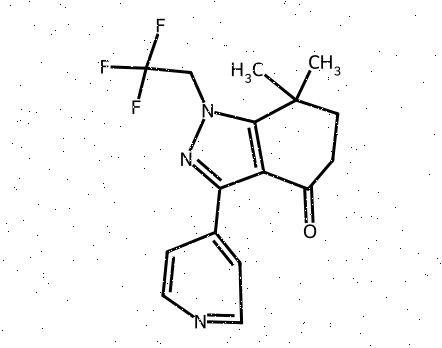 CC1(C)CCC(=O)c2c(-c3ccncc3)nn(CC(F)(F)F)c21